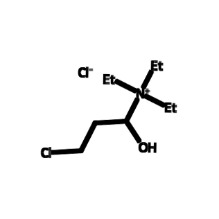 CC[N+](CC)(CC)C(O)CCCl.[Cl-]